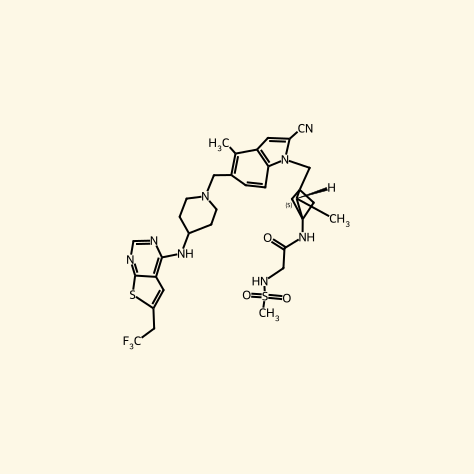 Cc1c(CN2CCC(Nc3ncnc4sc(CC(F)(F)F)cc34)CC2)ccc2c1cc(C#N)n2CC12CC(NC(=O)CNS(C)(=O)=O)(C1)[C@H]2C